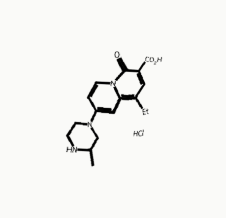 CCc1cc(C(=O)O)c(=O)n2ccc(N3CCNC(C)C3)cc12.Cl